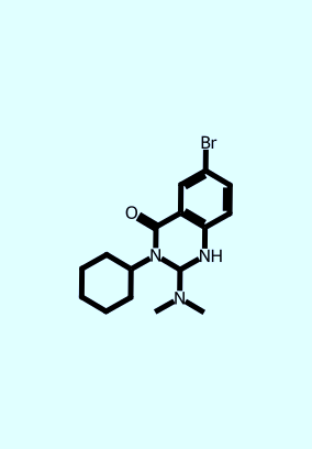 CN(C)C1Nc2ccc(Br)cc2C(=O)N1C1CCCCC1